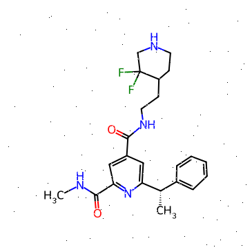 CNC(=O)c1cc(C(=O)NCCC2CCNCC2(F)F)cc([C@@H](C)c2ccccc2)n1